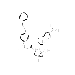 C[C@@]12C[C@@H]1CN(C(=O)CN(C=O)c1ccc(OCc3ccccc3)cc1)[C@@H]2C(=O)NCc1cc(C(=N)N)cs1